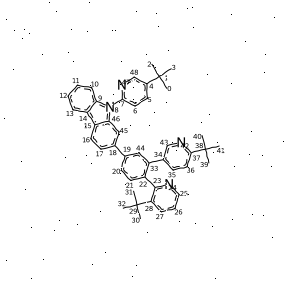 CC(C)(C)c1ccc(-n2c3ccccc3c3ccc(-c4ccc(-c5ncccc5C(C)(C)C)c(-c5ccc(C(C)(C)C)nc5)c4)cc32)nc1